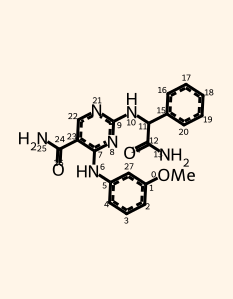 COc1cccc(Nc2nc(NC(C(N)=O)c3ccccc3)ncc2C(N)=O)c1